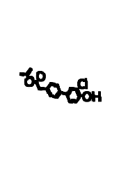 C=C(C)OC(=O)Cc1ccc(-c2ccc(O)c(Cl)c2)cc1